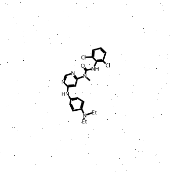 CCN(CC)c1ccc(Nc2cc(N(C)C(=O)Nc3c(Cl)cccc3Cl)ncn2)cc1